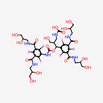 O=C(O)NCC(CO)C(OC(=O)Nc1c(I)c(C(=O)NCC(O)CO)c(I)c(C(=O)NCC(O)CO)c1I)c1c(I)c(C(=O)NCC(O)CO)c(I)c(C(=O)NCC(O)CO)c1I